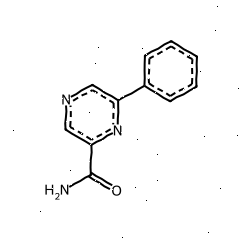 NC(=O)c1cncc(-c2ccccc2)n1